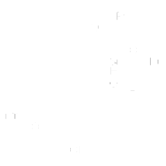 CCO[SiH](OCC)C(CC1CCC(O)C(OC(C)C)C1)OC(C)C